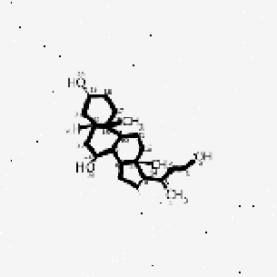 C[C@H](CCO)[C@H]1CCC2C3C(CC[C@@]21C)C1(C)CC[C@@H](O)C[C@H]1C[C@@H]3O